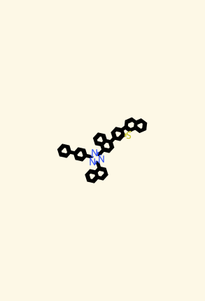 c1ccc(-c2ccc(-c3nc(-c4cccc5ccccc45)nc(-c4ccc(-c5ccc6c(c5)sc5c7ccccc7ccc65)c5ccccc45)n3)cc2)cc1